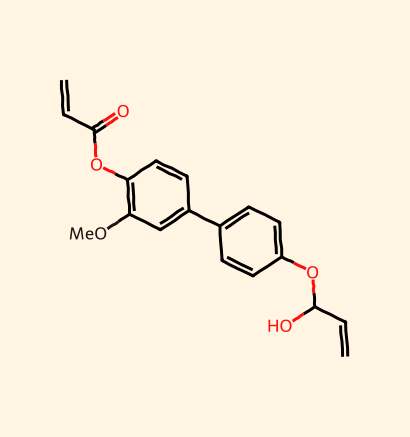 C=CC(=O)Oc1ccc(-c2ccc(OC(O)C=C)cc2)cc1OC